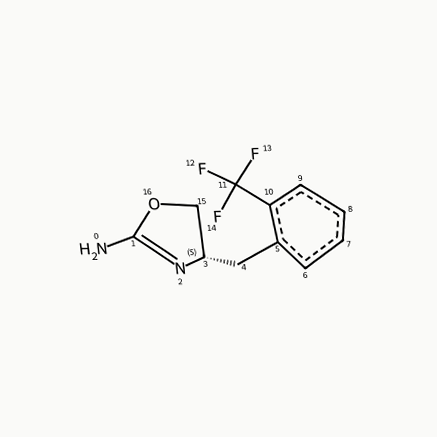 NC1=N[C@@H](Cc2ccccc2C(F)(F)F)CO1